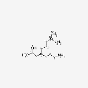 CC(O)CN(CCCN)CCCN(C)C